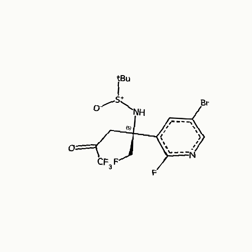 CC(C)(C)[S+]([O-])N[C@@](CF)(CC(=O)C(F)(F)F)c1cc(Br)cnc1F